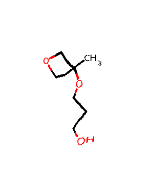 CC1(OCCCO)COC1